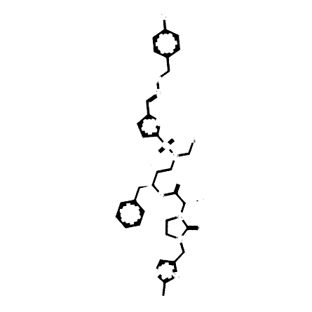 Cc1nc(CN2CCN([C@H](C(=O)N[C@@H](Cc3ccccc3)[C@H](O)CN(CC(C)C)S(=O)(=O)c3ccc(C=NOCc4ccc([N+](=O)[O-])cc4)o3)C(C)C)C2=O)cs1